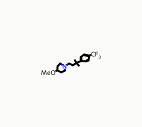 COC1CCN(CCC(C)(C)c2ccc(C(F)(F)F)cc2)CC1